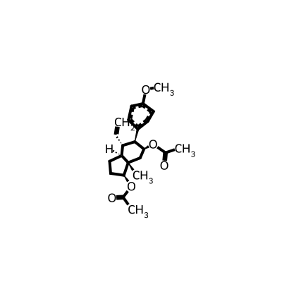 C=C[C@@H]1[C@@H](c2ccc(OC)cc2)[C@@H](OC(C)=O)C[C@]2(C)[C@@H](OC(C)=O)CC[C@@H]12